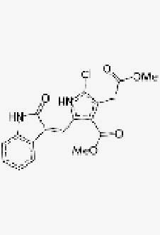 COC(=O)Cc1c(Cl)[nH]c(C=C2C(=O)Nc3ccccc32)c1C(=O)OC